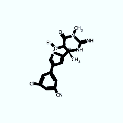 CCOC1C(=O)N(C)C(=N)N[C@]1(C)c1cc(-c2cc(Cl)cc(C#N)c2)cs1